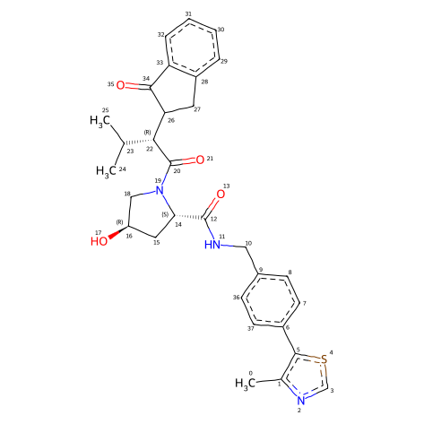 Cc1ncsc1-c1ccc(CNC(=O)[C@@H]2C[C@@H](O)CN2C(=O)[C@H](C(C)C)C2Cc3ccccc3C2=O)cc1